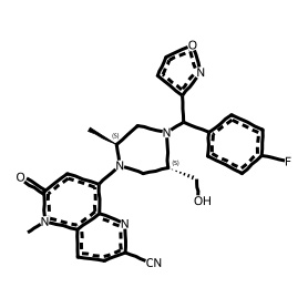 C[C@H]1CN(C(c2ccc(F)cc2)c2ccon2)[C@H](CO)CN1c1cc(=O)n(C)c2ccc(C#N)nc12